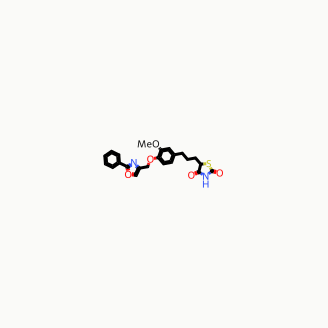 COc1cc(CCCC2SC(=O)NC2=O)ccc1OCc1coc(-c2ccccc2)n1